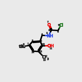 CC(C)(C)c1cc(CNC(=O)CCl)c(O)c(C(F)(F)F)c1